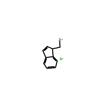 [Br-].[Zr+][CH2]C1C=Cc2ccccc21